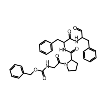 O=CC(Cc1ccccc1)NC(=O)C(Cc1ccccc1)NC(=O)C1CCCN1C(=O)CNC(=O)OCc1ccccc1